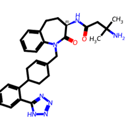 CC(C)(N)CC(=O)N[C@@H]1CCc2ccccc2N(CC2=CCC(c3ccccc3-c3nnn[nH]3)CC2)C1=O